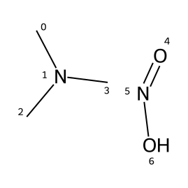 CN(C)C.O=NO